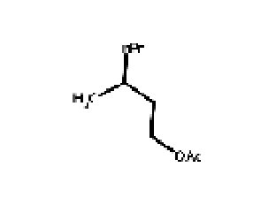 CCCC(C)CCOC(C)=O